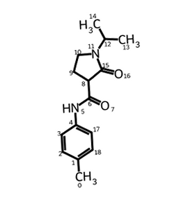 Cc1ccc(NC(=O)C2CCN(C(C)C)C2=O)cc1